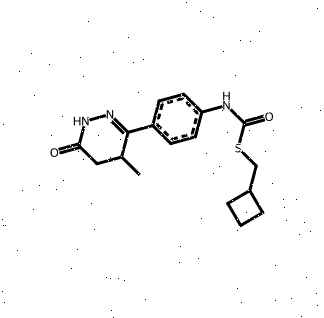 CC1CC(=O)NN=C1c1ccc(NC(=O)SCC2CCC2)cc1